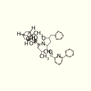 CC(C)C[C@@H](B1O[C@@H]2C[C@@H]3C[C@@H](C3(C)C)[C@]2(C)O1)N1OC(Cc2ccccc2)CC1COCc1cccc(-c2ccccc2)n1